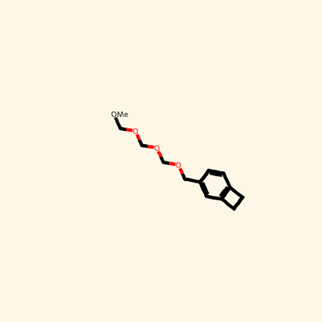 COCOCOCOCc1ccc2c(c1)CC2